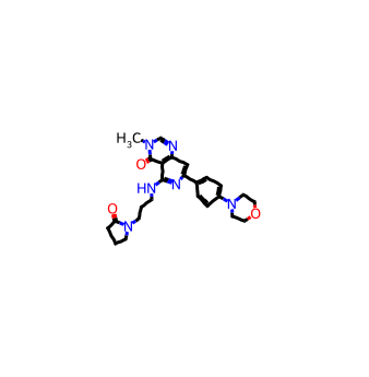 Cn1cnc2cc(-c3ccc(N4CCOCC4)cc3)nc(NCCCN3CCCC3=O)c2c1=O